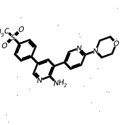 CS(=O)(=O)c1ccc(-c2cnc(N)c(-c3ccc(N4CCOCC4)nc3)c2)cc1